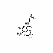 CCC(=O)C(C)Oc1cc(N)c(Cl)cc1C(=O)NCCN(CC)CC